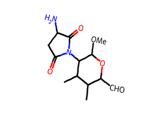 COC1OC(C=O)C(C)C(C)C1N1C(=O)CC(N)C1=O